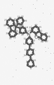 c1ccc(-c2ccc(-c3ccc(N(c4ccc(C5(c6ccccc6)c6ccccc6-c6ccccc65)cc4)c4cccc5c4oc4ccccc45)cc3)cc2)cc1